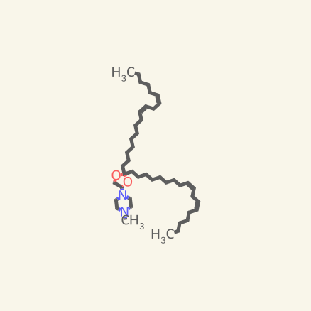 CCCCC/C=C\C/C=C\CCCCCCCCC1(CCCCCCCC/C=C\C/C=C\CCCCC)OCC(N2CCN(C)CC2)O1